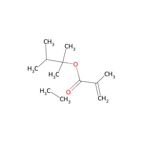 C=C(C)C(=O)OC(C)(C)C(C)C.CC